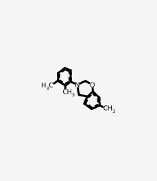 Cc1ccc2c(c1)OCN(c1cccc(C)c1C)C2